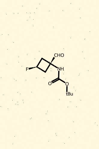 CC(C)(C)OC(=O)N[C@]1(C=O)C[C@@H](F)C1